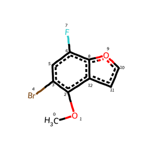 COc1c(Br)cc(F)c2occc12